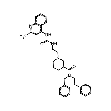 Cc1cc(NC(=O)NCCN2CCCC(C(=O)N(CCc3ccccc3)Cc3ccccc3)C2)c2ccccc2n1